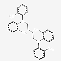 Cc1ccccc1P(CCCCP(c1ccccc1C)c1ccccc1C)c1ccccc1C